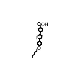 CCCCCCOc1ccc(-c2ccc(-c3ccc(C(=O)O)cc3)cn2)cc1